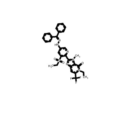 CCn1c(C(F)(F)F)cc2nc(-c3ncc(NN=C(c4ccccc4)c4ccccc4)cc3S(=O)(=O)CC)n(C)c2c1=O